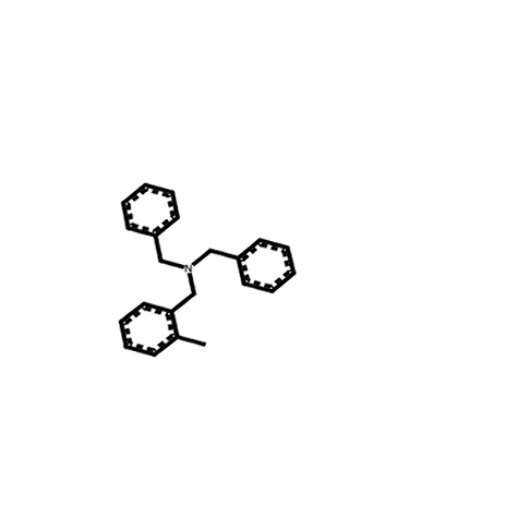 Cc1ccccc1CN(Cc1ccccc1)Cc1ccccc1